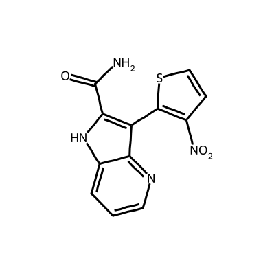 NC(=O)c1[nH]c2cccnc2c1-c1sccc1[N+](=O)[O-]